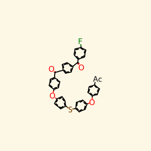 CC(=O)c1ccc(Oc2ccc(Sc3ccc(Oc4ccc(C(=O)c5ccc(C(=O)c6ccc(F)cc6)cc5)cc4)cc3)cc2)cc1